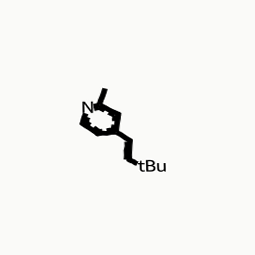 Cc1cc(/C=C/C(C)(C)C)ccn1